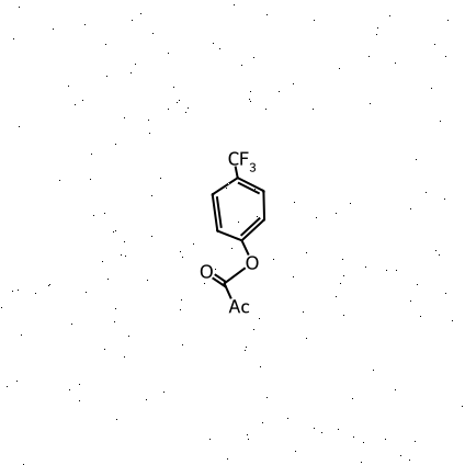 CC(=O)C(=O)Oc1ccc(C(F)(F)F)cc1